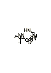 CNCCN(C)c1ncnc(N2CCOc3ccc(-c4cnc5nc(C6CC6)[nH]c5c4)cc3C2)c1C